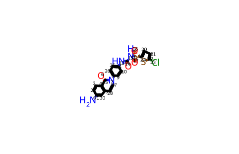 Nc1ccc2c(=O)n(-c3ccc(NC(=O)NS(=O)(=O)c4ccc(Cl)s4)cc3)ccc2c1